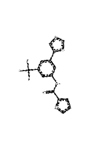 O=C(Nc1cc(-c2cnco2)cc(C(F)(F)F)c1)c1cccs1